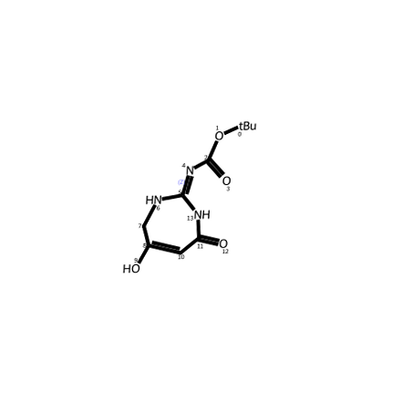 CC(C)(C)OC(=O)/N=C1/NCC(O)=CC(=O)N1